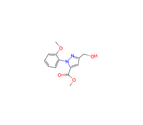 COC(=O)c1cc(CO)nn1-c1ccccc1OC